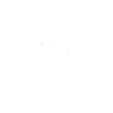 N#Cc1c(C(=O)NS(=O)(=O)c2ccccc2Cl)ncn1CCC(F)(F)F